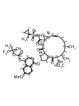 COc1ccc2c(O[C@@H]3C[C@H]4C(=O)N[C@]5(C(=O)NS(=O)(=O)C6(C)CC6)C[C@H]5C=CCC[C@@H](C)C[C@@H](C)[C@H](NC(=O)O)C(=O)N4C3)ncc(OC(=O)OC(C)(C)C(F)(F)F)c2c1